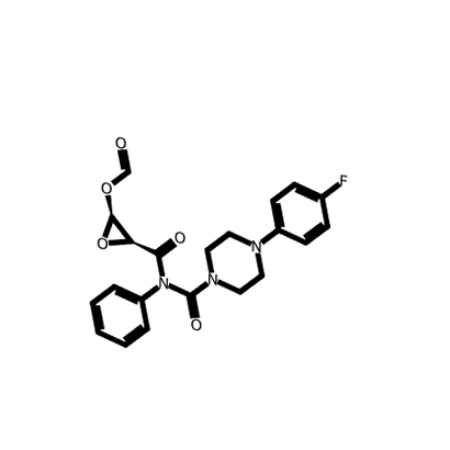 O=CO[C@@H]1O[C@@H]1C(=O)N(C(=O)N1CCN(c2ccc(F)cc2)CC1)c1ccccc1